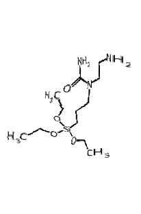 CCO[Si](CCCN(CCN)C(N)=O)(OCC)OCC